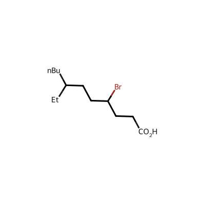 CCCCC(CC)CCC(Br)CCC(=O)O